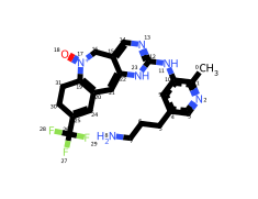 Cc1ncc(CCCN)cc1NC1=NC=C2C[N+](=O)C3=C(C=C2N1)C=C(C(F)(F)F)CC3